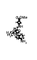 COC(=O)C1CC(NC[C@H]2OC[C@]3(n4cnc5c(N)ncnc54)OC(C)(C)O[C@H]23)C1